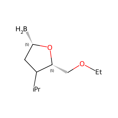 B[C@H]1CC(C(C)C)[C@@H](COCC)O1